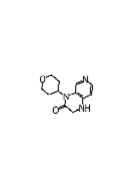 O=C1CNc2ccncc2N1C1CCOCC1